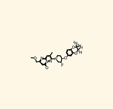 [2H]C1([2H])Oc2ccc(O[C@@H]3CCN(c4nn5c(=O)cc(COC)nc5cc4C)C[C@H]3F)cc2OC1([2H])[2H]